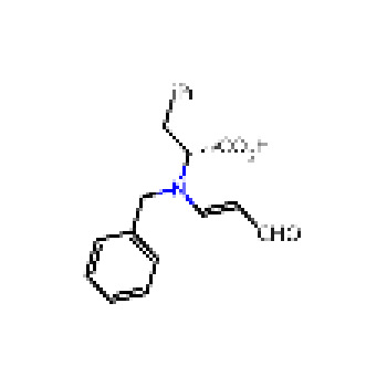 CC(C)C[C@H](C(=O)O)N(C=CC=O)Cc1ccccc1